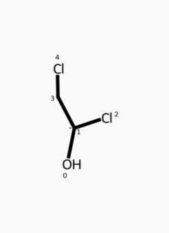 O[C](Cl)CCl